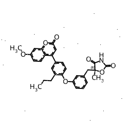 CCCc1cc(-c2cc(=O)oc3cc(OC)ccc23)ccc1Oc1cccc(C[C@@]2(C)OC(=O)NC2=O)c1